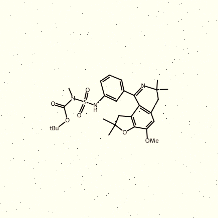 COc1cc2c(c3c1OC(C)(C)C3)C(c1cccc(NS(=O)(=O)N(C)C(=O)OC(C)(C)C)c1)=NC(C)(C)C2